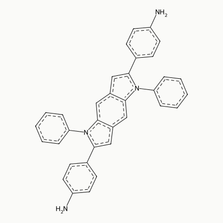 Nc1ccc(-c2cc3cc4c(cc(-c5ccc(N)cc5)n4-c4ccccc4)cc3n2-c2ccccc2)cc1